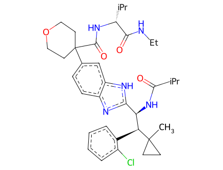 CCNC(=O)[C@H](NC(=O)C1(c2ccc3nc([C@@H](NC(=O)C(C)C)[C@H](c4ccccc4Cl)C4(C)CC4)[nH]c3c2)CCOCC1)C(C)C